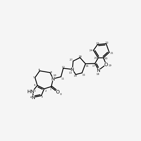 O=C1c2cn[nH]c2CCCN1CCN1CCC(c2noc3ccccc23)CC1